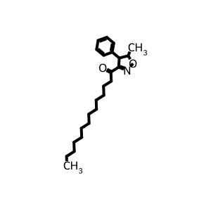 CCCCCCCCCCCCCC(=O)C1=NOC(C)C1c1ccccc1